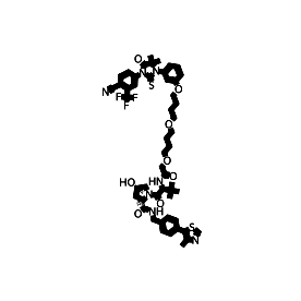 Cc1ncsc1-c1ccc(CNC(=O)[C@@H]2C[C@@H](O)CN2C(=O)C(NC(=O)COCCCCOCCCCOc2cccc(N3C(=S)N(c4ccc(C#N)c(C(F)(F)F)c4)C(=O)C3(C)C)c2)C(C)(C)C)cc1